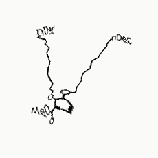 CCCCCCCCCCCCCCCCCCCCOc1cccc(C(=O)OC)c1OCCCCCCCCCCCCCCCCCCCC